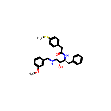 COc1cccc(CNC[C@H](O)[C@H](Cc2ccccc2)NC(=O)Cc2ccc(SC)cc2)c1